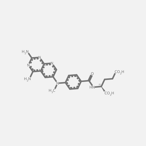 CN(c1ccc(C(=O)N[C@@H](CCC(=O)O)C(=O)O)cc1)c1cnc2nc(N)nc(N)c2c1